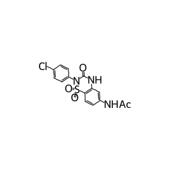 CC(=O)Nc1ccc2c(c1)NC(=O)N(c1ccc(Cl)cc1)S2(=O)=O